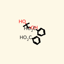 CC(C)(O)CO.O=C(O)c1ccccc1.O=C(O)c1ccccc1